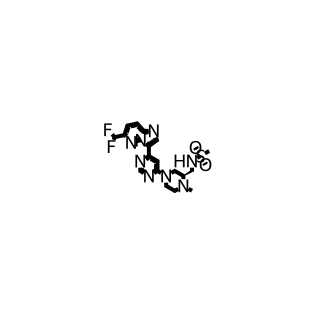 CN1CCN(c2cc(-c3cnc4ccc(C(F)F)nn34)ncn2)C[C@H]1CNS(C)(=O)=O